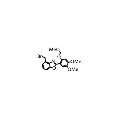 COCOc1cc(OC)c(OC)cc1-c1nc2c(CBr)cccc2o1